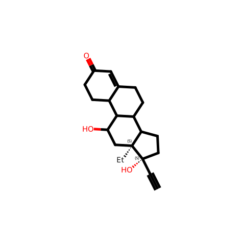 C#C[C@]1(O)CCC2C3CCC4=CC(=O)CCC4C3C(O)C[C@@]21CC